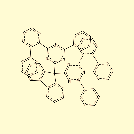 c1ccc(-c2nc(-c3ccccc3-c3ccccc3)nc(C3(c4nc(-c5ccccc5)nc(-c5ccccc5-c5ccccc5)n4)c4ccccc4-c4ccccc43)n2)cc1